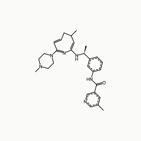 Cc1cncc(C(=O)Nc2cccc([C@H](C)NC3=C/C(C)C/C=C/C(N4CCN(C)CC4)=N\3)c2)c1